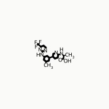 Cc1cc(Nc2nccc(C(F)(F)F)n2)cc(-c2ccc(N[C@@H](C)C(=O)O)nc2)c1